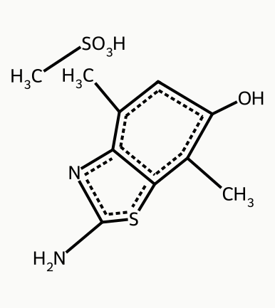 CS(=O)(=O)O.Cc1cc(O)c(C)c2sc(N)nc12